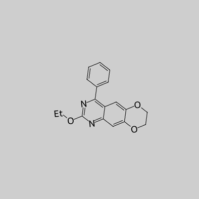 CCOc1nc(-c2ccccc2)c2cc3c(cc2n1)OCCO3